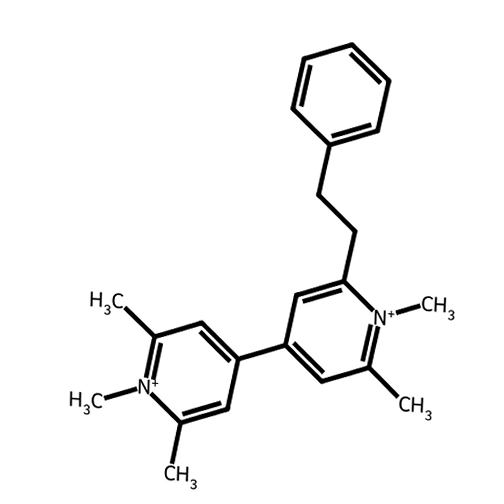 Cc1cc(-c2cc(C)[n+](C)c(CCc3ccccc3)c2)cc(C)[n+]1C